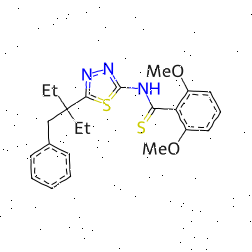 CCC(CC)(Cc1ccccc1)c1nnc(NC(=S)c2c(OC)cccc2OC)s1